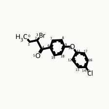 CCC(Br)C(=O)c1ccc(Oc2ccc(Cl)cc2)cc1